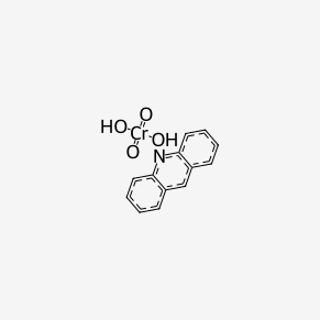 [O]=[Cr](=[O])([OH])[OH].c1ccc2nc3ccccc3cc2c1